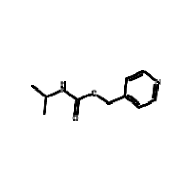 CC(C)NC(=O)OCc1ccncc1